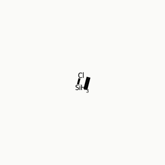 C=C.[SiH3]Cl